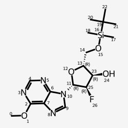 COc1ncnc2c1ncn2[C@@H]1O[C@H](CO[Si](C)(C)C(C)(C)C)[C@@H](O)[C@H]1F